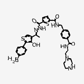 Bc1ccc(-c2scc(/C(C)=N/NC(=O)c3ccc(C(=O)NCc4ccc(C(=O)NCCN5CCNCC5)cc4)s3)c2O)cc1